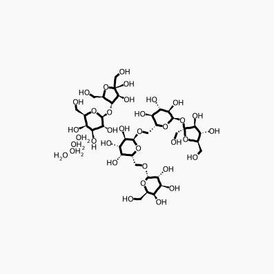 O.O.O.O.OC[C@H]1O[C@@H](O[C@@H]2[C@@H](CO)O[C@](O)(CO)[C@H]2O)[C@H](O)[C@@H](O)[C@H]1O.OC[C@H]1O[C@H](OC[C@H]2O[C@H](OC[C@H]3O[C@H](O[C@]4(CO)O[C@H](CO)[C@@H](O)[C@@H]4O)[C@H](O)[C@@H](O)[C@@H]3O)[C@H](O)[C@@H](O)[C@H]2O)[C@H](O)[C@@H](O)[C@H]1O